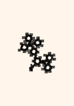 N#Cc1cc(-c2ccc([Si](c3ccccc3)(c3ccccc3)c3ccccc3)cc2)cc(-n2c3ccccc3c3ccccc32)c1